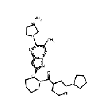 Cc1cn2nc([C@@H]3CCCCN3C(=O)C3CCNC(N4CCCC4)C3)cc2nc1N1CC[C@H](N)C1